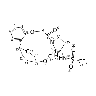 O=C1COc2ccccc2C2CCC(CC2)OC[C@H]2[C@@H](NS(=O)(=O)C(F)(F)F)CCN12